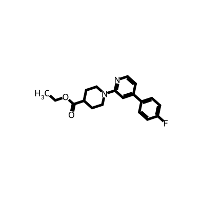 CCOC(=O)C1CCN(c2cc(-c3ccc(F)cc3)ccn2)CC1